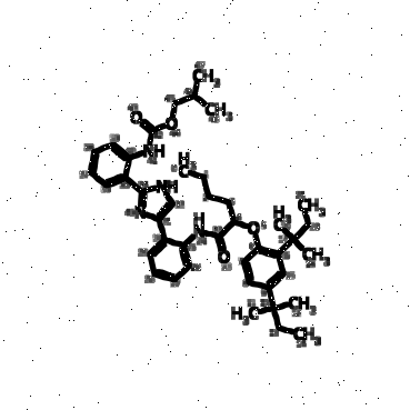 CCCCC(Oc1ccc(C(C)(C)CC)cc1C(C)(C)CC)C(=O)Nc1ccccc1-c1c[nH]c(-c2ccccc2NC(=O)OCC(C)C)n1